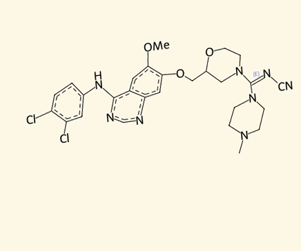 COc1cc2c(Nc3ccc(Cl)c(Cl)c3)ncnc2cc1OCC1CN(/C(=N/C#N)N2CCN(C)CC2)CCO1